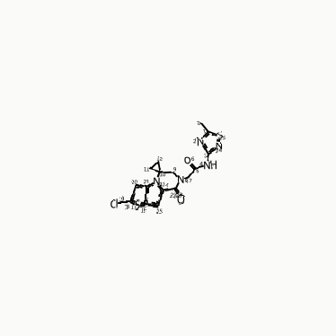 Cc1nc(NC(=O)CN2CC3(CC3)n3c(cc4sc(Cl)cc43)C2=O)ns1